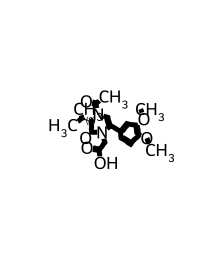 COc1ccc(C2=CN(C(C)=O)[C@@H](C(C)C)C(=O)N2CC(=O)O)cc1OC